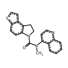 CN(C(=O)N1CCc2c1ccc1sccc21)c1ccnc2ccccc12